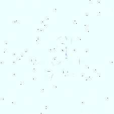 COc1ccccc1-c1ccc(C(=O)N2[C@@H](c3ccccc3F)CC[C@H]2C(=O)O)cc1OC